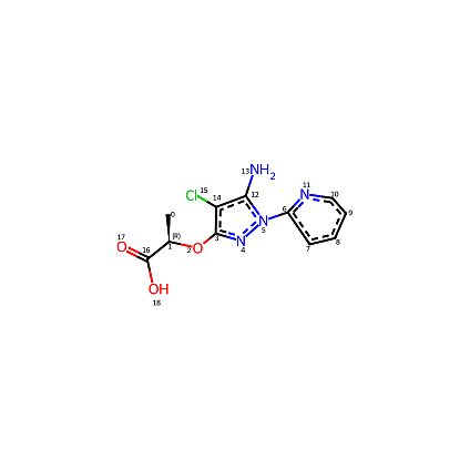 C[C@@H](Oc1nn(-c2ccccn2)c(N)c1Cl)C(=O)O